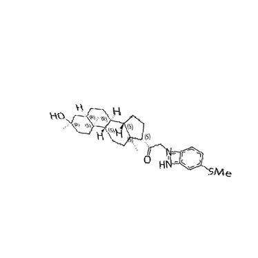 CSc1ccc2c(c1)[nH]n2CC(=O)[C@H]1CC[C@H]2[C@@H]3CC[C@@H]4C[C@](C)(O)CC[C@]4(C)[C@H]3CC[C@]12C